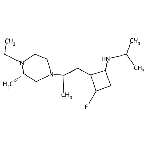 CCN1CCN(C(C)CC2C(F)CC2NC(C)C)C[C@@H]1C